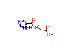 O=C(O)CONC(=O)c1cnc[nH]1